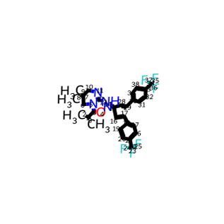 CC(C)C(=O)N1CC(C)(C)CN=C1NN=C(C=Cc1ccc(C(F)(F)F)cc1)C=Cc1ccc(C(F)(F)F)cc1